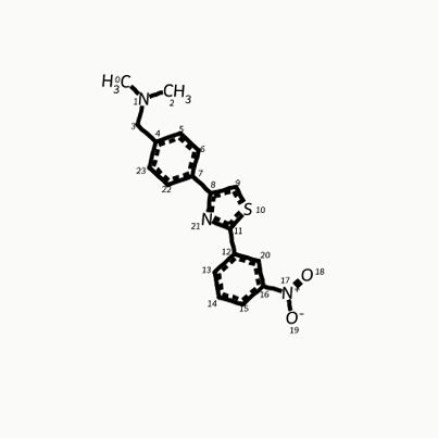 CN(C)Cc1ccc(-c2csc(-c3cccc([N+](=O)[O-])c3)n2)cc1